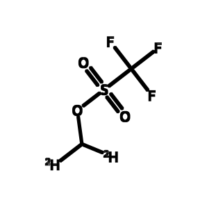 [2H]C([2H])OS(=O)(=O)C(F)(F)F